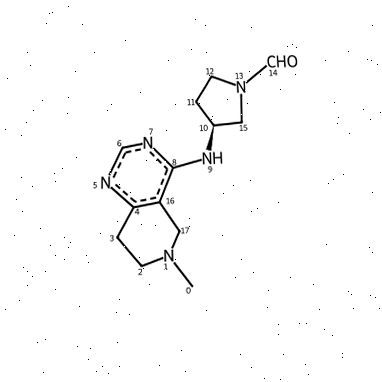 CN1CCc2ncnc(N[C@H]3CCN(C=O)C3)c2C1